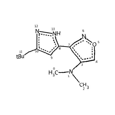 CN(C)c1conc1-c1cc(C(C)(C)C)n[nH]1